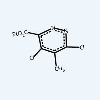 CCOC(=O)c1nnc(Cl)c(C)c1Cl